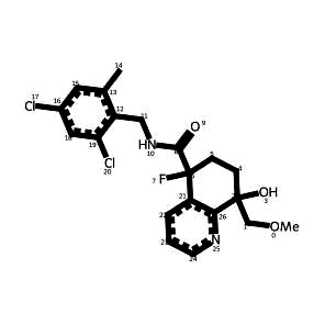 COCC1(O)CCC(F)(C(=O)NCc2c(C)cc(Cl)cc2Cl)c2cccnc21